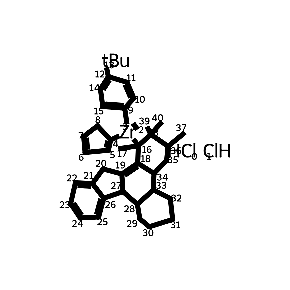 Cl.Cl.[CH2]=[Zr]([C]1=CC=CC1)([c]1ccc(C(C)(C)C)cc1)[C]1(C)C2=C3Cc4ccccc4C3C3CCCCC3C2CC(C)C1(C)C